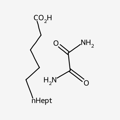 CCCCCCCCCCCC(=O)O.NC(=O)C(N)=O